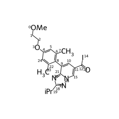 COCCOc1cc(C)c(-c2cc(C(=O)I)cn3nc(C(C)C)nc23)c(C)c1